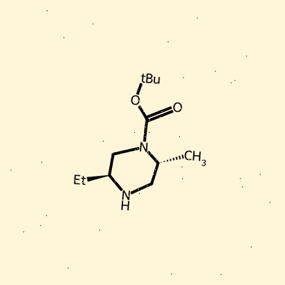 CC[C@H]1CN(C(=O)OC(C)(C)C)[C@H](C)CN1